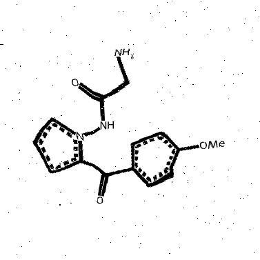 COc1ccc(C(=O)c2cccn2NC(=O)CN)cc1